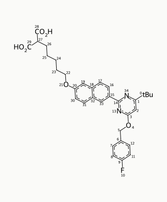 CC(C)(C)c1cc(OCc2ccc(F)cc2)nc(-c2ccc3cc(OCCCCCC(C(=O)O)C(=O)O)ccc3c2)n1